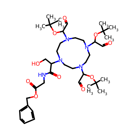 CC(C)(C)OC(C=O)N1CCN(C(C=O)OC(C)(C)C)CCN(C(CO)C(=O)NCC(=O)OCc2ccccc2)CCN(C(C=O)OC(C)(C)C)CC1